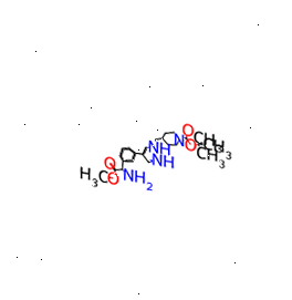 COC(=O)C(N)c1cccc(/C(C=N)=C/NCC2CCN(C(=O)OC(C)(C)C)CC2)c1